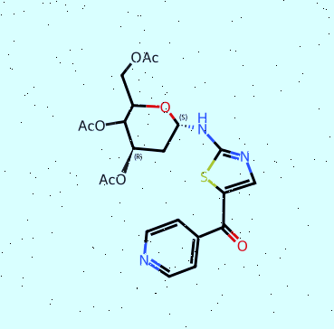 CC(=O)OCC1O[C@H](Nc2ncc(C(=O)c3ccncc3)s2)C[C@@H](OC(C)=O)C1OC(C)=O